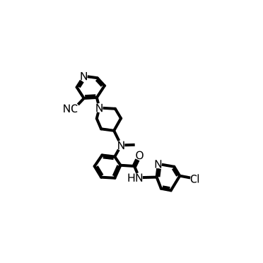 CN(c1ccccc1C(=O)Nc1ccc(Cl)cn1)C1CCN(c2ccncc2C#N)CC1